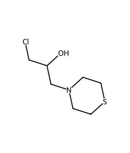 OC(CCl)CN1CCSCC1